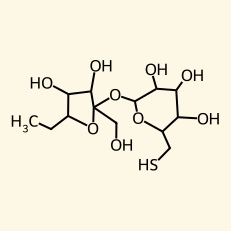 CCC1OC(CO)(OC2OC(CS)C(O)C(O)C2O)C(O)C1O